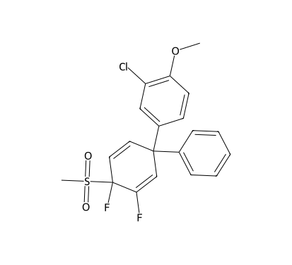 COc1ccc(C2(c3ccccc3)C=CC(F)(S(C)(=O)=O)C(F)=C2)cc1Cl